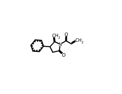 C=CC(=O)N1C(=C)C(c2ccccc2)CC1=O